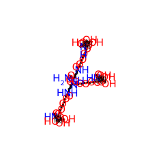 CC(=O)N[C@H]1[C@H](OCCOCCOCCOCC(=O)NCCCCC(NC(=O)COCCOCCOCCO[C@@H]2O[C@H](CO)[C@H](O)[C@H](O)[C@H]2NC(C)=O)C(=O)NC(CCCCNC(=O)COCCOCCOCCO[C@@H]2O[C@H](CO)[C@H](O)[C@H](O)[C@H]2NC(C)=O)C(=O)ON)O[C@H](CO)[C@H](O)[C@@H]1O